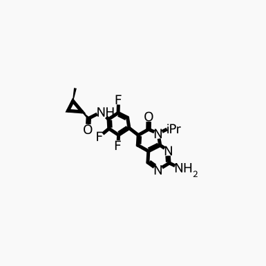 CC(C)n1c(=O)c(-c2cc(F)c(NC(=O)[C@H]3C[C@H]3C)c(F)c2F)cc2cnc(N)nc21